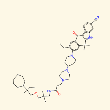 CCc1cc2c(cc1N1CCC(N3CCN(CCC(=O)NCC(C)(C)COCC(C)(CC)C4CCCCCC4)CC3)CC1)C(C)(C)c1[nH]c3cc(C#N)ccc3c1C2=O